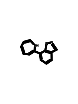 C1=CC=C(c2cccc3c2[N]N=C3)NC=C1